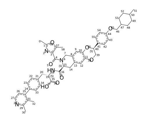 Cc1nc(C(=O)N2Cc3cc4c(cc3C[C@H]2C(=O)N[C@@H](Cc2ccc(-c3ccnc(C)c3C)cc2)C(=O)O)OC[C@H](c2ccc(OCC3CCC(C)CC3)cc2)O4)c(C)o1